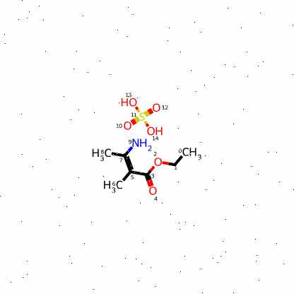 CCOC(=O)C(C)=C(C)N.O=S(=O)(O)O